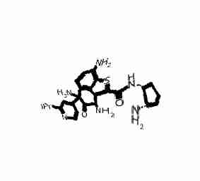 CC(C)c1cc(C2(N)C(=O)C(N)c3c(C(=O)N[C@@H]4CCC[C@@H]4N)sc4c(N)ccc2c34)ccn1